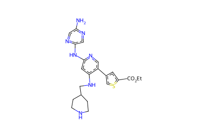 CCOC(=O)c1cc(-c2cnc(Nc3cnc(N)cn3)cc2NCC2CCNCC2)cs1